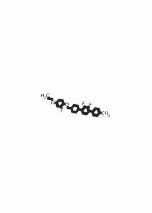 C=CCOc1ccc(OCC2CCC(c3ccc(-c4ccc(C)cc4)c(F)c3F)CC2)c(F)c1